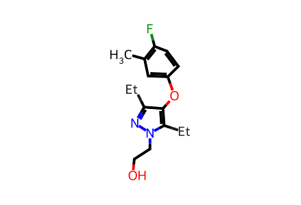 CCc1nn(CCO)c(CC)c1Oc1ccc(F)c(C)c1